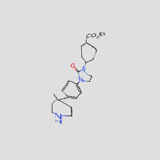 CCOC(=O)C1CCC(N2CCN(c3ccc(C4(C)CCNCC4)cc3)C2=O)CC1